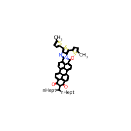 CCCCCCCC(CCCCCCC)C1C(=O)c2ccc3c4ccc5c(=O)n6c(nc7c(-c8ccc(C)s8)sc(-c8ccc(C)s8)c76)c6ccc(c7ccc(c2c37)C1=O)c4c56